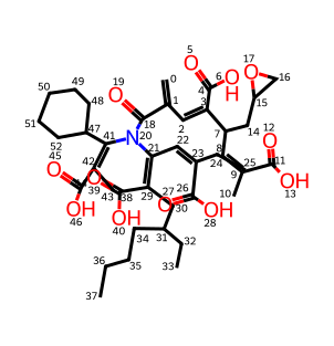 C=C(C=C(C(=O)O)C(C=C(C)C(=O)O)CC1CO1)C(=O)N(C(C=C(CC)C(=O)O)=C(CC(CC)CCCC)C(=O)O)C(=C(C)C(=O)O)C1CCCCC1